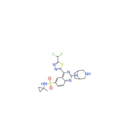 CC1(NS(=O)(=O)c2ccc3nc(N4C5CCC4CNC5)nc(-c4nnc(C(F)F)s4)c3c2)CC1